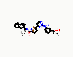 CC(O)c1cccc(Nc2nccc(-c3ccc(C(=O)NC(C)c4ccc5ccccc5c4)s3)n2)c1